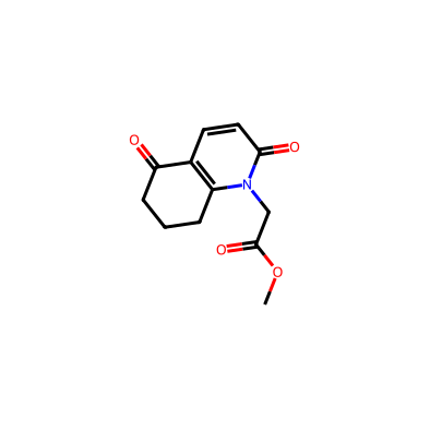 COC(=O)Cn1c2c(ccc1=O)C(=O)CCC2